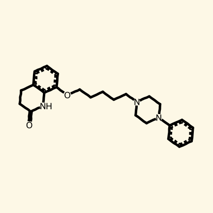 O=C1CCc2cccc(OCCCCCN3CCN(c4ccccc4)CC3)c2N1